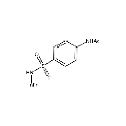 CCCNS(=O)(=O)c1ccc(NC(C)=O)cc1